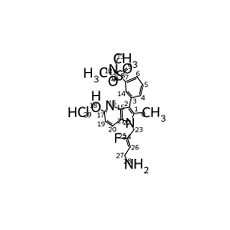 Cc1c(-c2cccc(S(=O)(=O)N(C)C)c2)c2nc(O)ccc2n1CC(F)=CCN.Cl